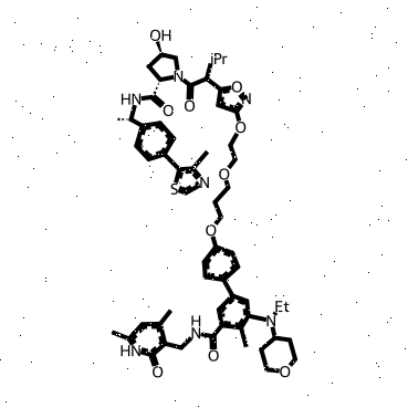 CCN(c1cc(-c2ccc(OCCCOCCOc3cc(C(C(=O)N4C[C@H](O)C[C@H]4C(=O)N[C@@H](C)c4ccc(-c5scnc5C)cc4)C(C)C)on3)cc2)cc(C(=O)NCc2c(C)cc(C)[nH]c2=O)c1C)C1CCOCC1